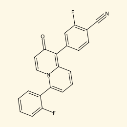 N#Cc1ccc(-c2c(=O)ccn3c(-c4ccccc4F)cccc23)cc1F